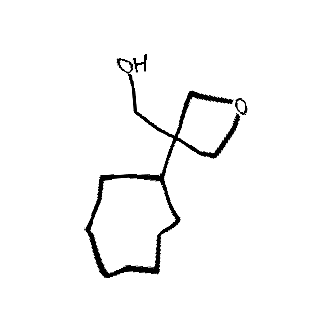 OCC1(C2CCCCC2)COC1